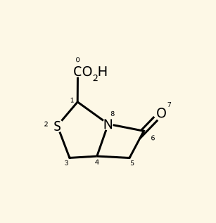 O=C(O)C1SCC2CC(=O)N21